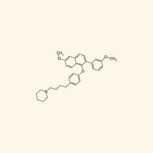 COc1cccc(-c2ccc3cc(OC)ccc3c2Oc2ccc(CCCCN3CCCCC3)cc2)c1